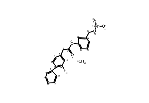 C.O=C(Cc1ccc(-c2ccccc2)c(F)c1)Oc1cccc(CO[N+](=O)[O-])c1